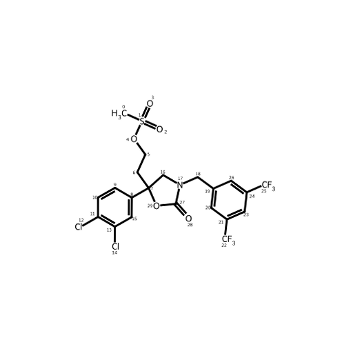 CS(=O)(=O)OCCC1(c2ccc(Cl)c(Cl)c2)CN(Cc2cc(C(F)(F)F)cc(C(F)(F)F)c2)C(=O)O1